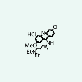 CCN(CC)CCC[C@H](C)Nc1c2ccc(Cl)cc2nc2ccc(OC)cc12.Cl